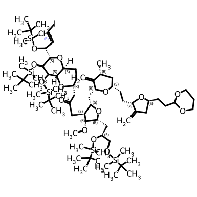 C=C1C[C@H](CCC2OCCCO2)O[C@H]1CC[C@H]1C[C@@H](C)C(=C)[C@@H](C[C@@H]2O[C@H](C[C@@H](CO[Si](C)(C)C(C)(C)C)O[Si](C)(C)C(C)(C)C)[C@H](OC)[C@H]2CC(=O)C[C@H]2CC[C@@H]3O[C@@H](C(/C=C/I)O[Si](C)(C)C(C)(C)C)C(O[Si](C)(C)C(C)(C)C)C(O[Si](C)(C)C(C)(C)C)[C@H]3O2)O1